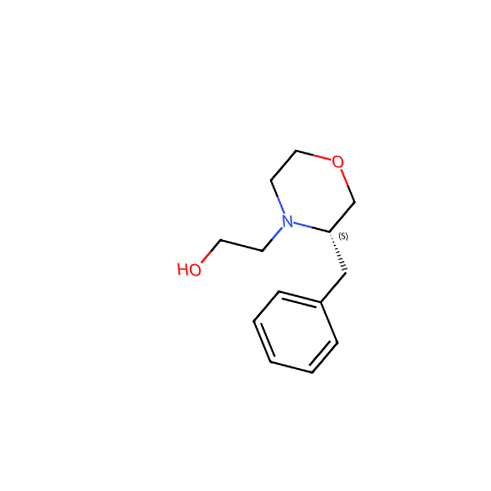 OCCN1CCOC[C@@H]1Cc1ccccc1